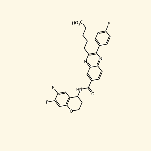 O=C(O)CCCCc1nc2cc(C(=O)NC3CCOc4cc(F)c(F)cc43)ccc2nc1-c1ccc(F)cc1